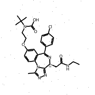 CCNC(=O)C[C@@H]1N=C(c2ccc(Cl)cc2)c2cc(OCCN(C(=O)O)C(C)(C)C)ccc2-n2c(C)nnc21